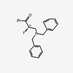 CC(C)C(=O)[C@H](F)CN(Cc1ccccc1)Cc1ccccc1